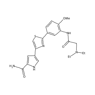 CCN(CC)CC(=O)Nc1cc(-c2nc(-c3c[nH]c(C(N)=O)c3)cs2)ccc1OC